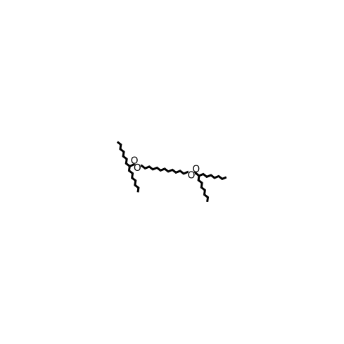 CCCCCCCC(CCCCCCC)C(=O)OCCCCCCCCCCCCCOC(=O)C(CCCCCCC)CCCCCCC